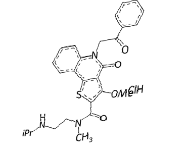 COc1c(C(=O)N(C)CCNC(C)C)sc2c1c(=O)n(CC(=O)c1ccccc1)c1ccccc21.Cl